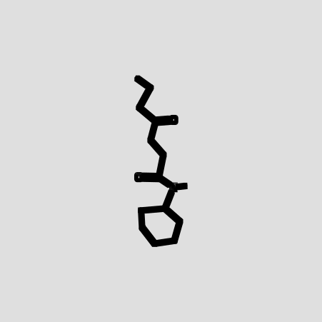 CCCC(=O)CCC(=O)N(C)C1CCCCC1